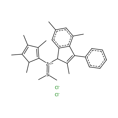 CC1=C(C)C(C)[C]([Zr+2]([CH]2C(C)=C(c3ccccc3)c3c(C)cc(C)cc32)=[Si](C)C)=C1C.[Cl-].[Cl-]